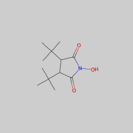 CC(C)(C)C1C(=O)N(O)C(=O)C1C(C)(C)C